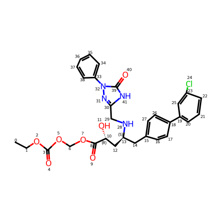 CCOC(=O)OCOC(=O)[C@H](O)C[C@H](Cc1ccc(-c2cccc(Cl)c2)cc1)NCc1nn(-c2ccccc2)c(=O)[nH]1